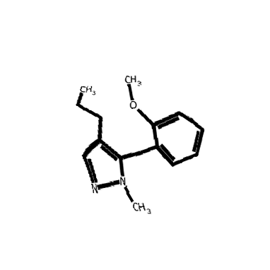 CCCc1cnn(C)c1-c1ccccc1OC